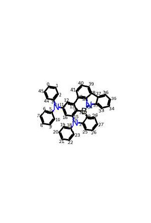 c1ccc(N(c2ccccc2)c2cc3c4c(c2)N(c2ccccc2)c2ccccc2B4n2c4ccccc4c4cccc-3c42)cc1